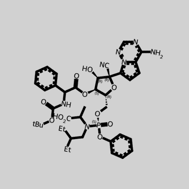 CCC(CC)CN(C(C)C(=O)O)[P@](=O)(OC[C@H]1O[C@@](C#N)(c2ccc3c(N)ncnn23)[C@H](O)[C@@H]1OC(=O)C(NC(=O)OC(C)(C)C)c1ccccc1)Oc1ccccc1